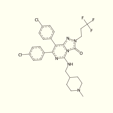 CN1CCC(CNc2nc(-c3ccc(Cl)cc3)c(-c3ccc(Cl)cc3)c3nn(CCC(F)(F)F)c(=O)n23)CC1